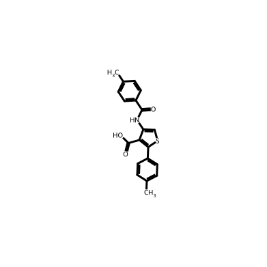 Cc1ccc(C(=O)Nc2csc(-c3ccc(C)cc3)c2C(=O)O)cc1